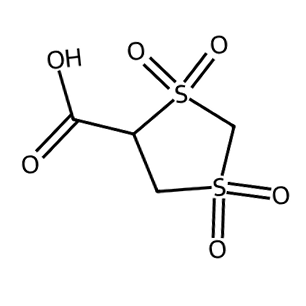 O=C(O)C1CS(=O)(=O)CS1(=O)=O